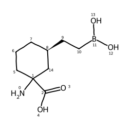 NC1(C(=O)O)CCC[C@@H](CCB(O)O)C1